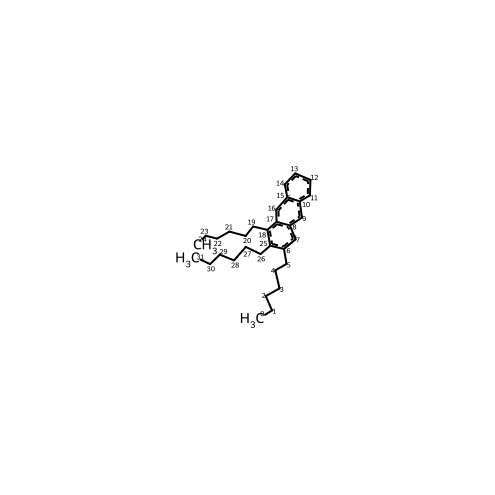 CCCCCCc1[c]c2cc3ccccc3cc2c(CCCCCC)c1CCCCCC